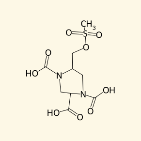 CS(=O)(=O)OCC1CN(C(=O)O)C(C(=O)O)CN1C(=O)O